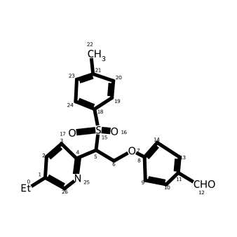 CCc1ccc(C(COc2ccc(C=O)cc2)S(=O)(=O)c2ccc(C)cc2)nc1